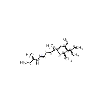 C=C(CC)N/C=C/CCC(C)C1=CC(N=O)=C(C(=C)CC)C(=C)C1